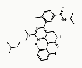 Cc1ccc(C(=O)NC(C)C)cc1-c1nc(N(C)CCCN(C)C)nc2c1CNC(=O)N2c1c(F)cccc1F